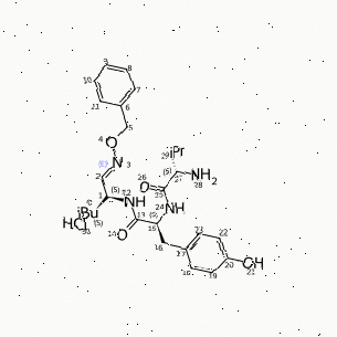 CC[C@H](C)[C@@H](/C=N/OCc1ccccc1)NC(=O)[C@H](Cc1ccc(O)cc1)NC(=O)[C@@H](N)C(C)C.Cl